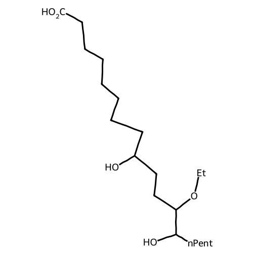 CCCCCC(O)C(CCC(O)CCCCCCCC(=O)O)OCC